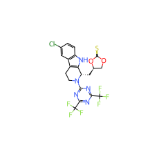 FC(F)(F)c1nc(N2CCc3c([nH]c4ccc(Cl)cc34)[C@@H]2C[C@@H]2COC(=S)O2)nc(C(F)(F)F)n1